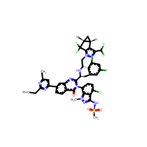 COCc1nc(C)cc(-c2ccc3c(=O)n(-c4ccc(Cl)c5c(NS(C)(=O)=O)nn(C)c45)c([C@H](Cc4cc(F)cc(F)c4)NC(=O)Cn4nc(C(F)F)c5c4C(F)(F)[C@@H]4C[C@H]54)nc3c2)n1